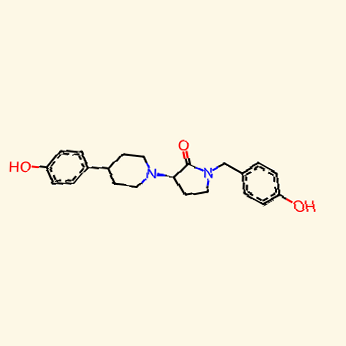 O=C1[C@H](N2CCC(c3ccc(O)cc3)CC2)CCN1Cc1ccc(O)cc1